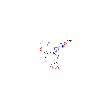 N.N.O.O.O=S(=O)(O)OC1CCCCC1.[Pt]